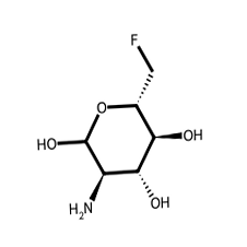 N[C@H]1C(O)O[C@H](CF)[C@@H](O)[C@@H]1O